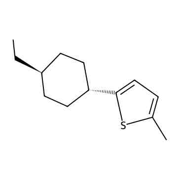 CC[C@H]1CC[C@H](c2ccc(C)s2)CC1